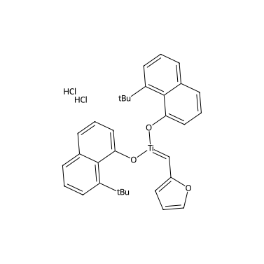 CC(C)(C)c1cccc2cccc([O][Ti](=[CH]c3ccco3)[O]c3cccc4cccc(C(C)(C)C)c34)c12.Cl.Cl